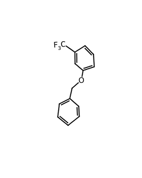 FC(F)(F)c1cccc(OCc2ccccc2)c1